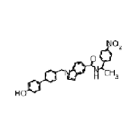 CC(NC(=O)c1ccc2c(ccn2Cc2ccc(-c3ccc(O)cc3)cc2)c1)c1ccc([N+](=O)[O-])cc1